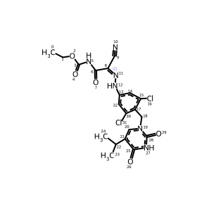 CCOC(=O)NC(=O)/C(C#N)=N\Nc1cc(Cl)c(Cn2cc(C(C)C)c(=O)[nH]c2=O)c(Cl)c1